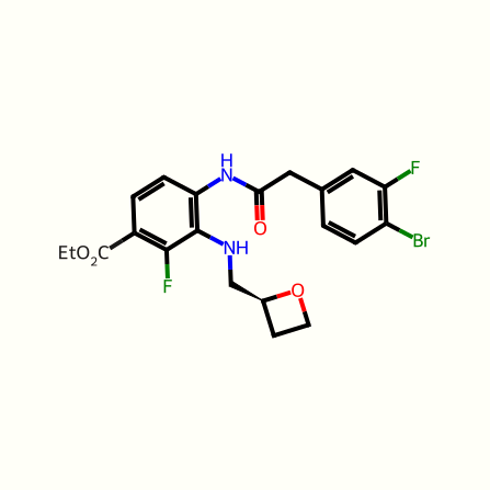 CCOC(=O)c1ccc(NC(=O)Cc2ccc(Br)c(F)c2)c(NC[C@@H]2CCO2)c1F